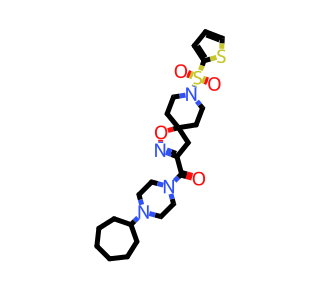 O=C(C1=NOC2(CCN(S(=O)(=O)c3cccs3)CC2)C1)N1CCN(C2CCCCCC2)CC1